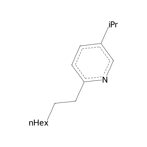 CCCCCCCCc1ccc(C(C)C)cn1